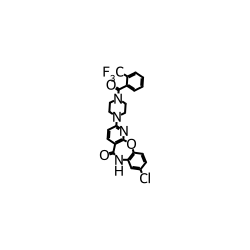 O=C1Nc2cc(Cl)ccc2Oc2nc(N3CCN(C(=O)c4ccccc4C(F)(F)F)CC3)ccc21